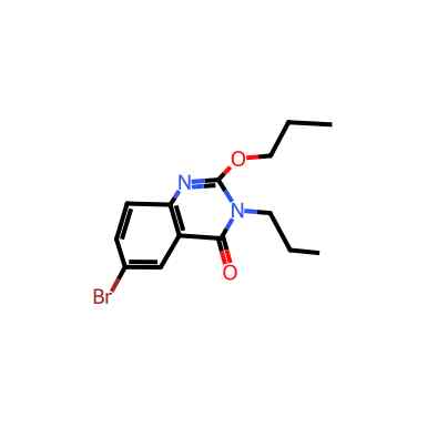 CCCOc1nc2ccc(Br)cc2c(=O)n1CCC